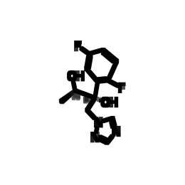 C[C@@H](O)[C@](O)(Cn1cncn1)c1cc(F)ccc1F